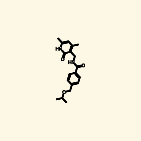 Cc1cc(C)c(CNC(=O)c2ccc(COC(C)C)cc2)c(=O)[nH]1